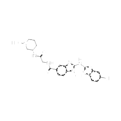 CN1CCC[C@@H](NC(=O)CNC(=O)c2ccc3c(c2)nc(Nc2nc4ccc(Cl)cc4s2)n3C)C1